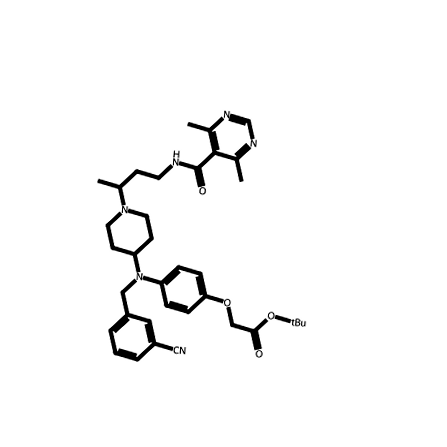 Cc1ncnc(C)c1C(=O)NCCC(C)N1CCC(N(Cc2cccc(C#N)c2)c2ccc(OCC(=O)OC(C)(C)C)cc2)CC1